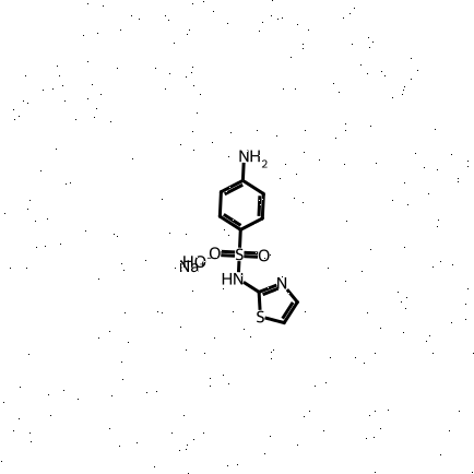 Nc1ccc(S(=O)(=O)Nc2nccs2)cc1.[Na+].[OH-]